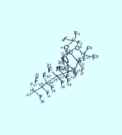 FC(F)(F)O[Si](OC(F)(F)F)(OC(F)(F)F)C(F)(F)C(F)(F)C(F)(F)C(F)(F)C(F)(F)C(F)(F)C(F)(F)F